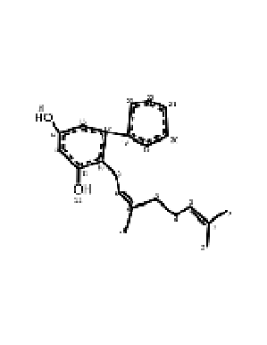 CC(C)=CCCC(C)=CCc1c(O)cc(O)cc1-c1ccccc1